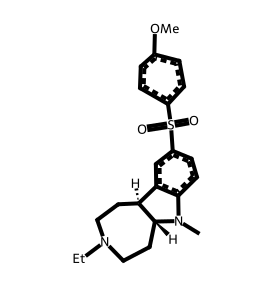 CCN1CC[C@@H]2[C@@H](CC1)c1cc(S(=O)(=O)c3ccc(OC)cc3)ccc1N2C